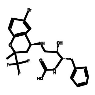 CC1(C(F)(F)F)C[C@H](NC[C@H](O)[C@H](Cc2ccccc2)NC(=O)O)c2cc(Br)ccc2O1